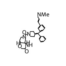 CNC/C=C/c1cccc(C(=C2CCN(C(=O)N3CC[C@@H]4OCC(=O)N[C@@H]4C3)CC2)c2ccccc2)c1